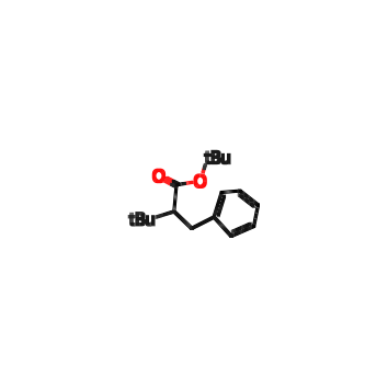 CC(C)(C)OC(=O)C(Cc1ccccc1)C(C)(C)C